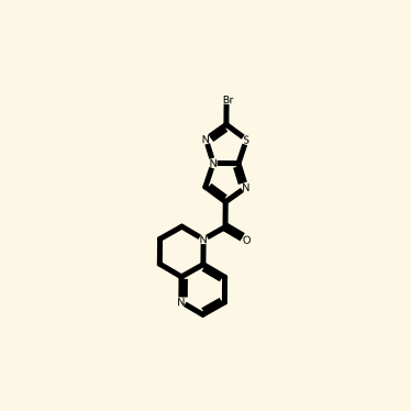 O=C(c1cn2nc(Br)sc2n1)N1CCCc2ncccc21